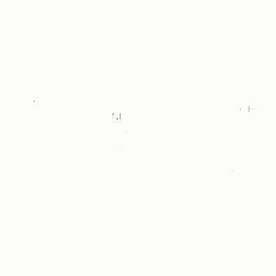 CCCCNC(=O)CCc1ccc(O)c(OC)c1